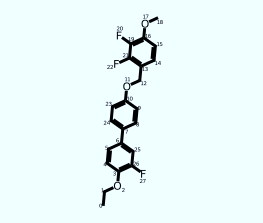 CCOc1ccc(-c2ccc(OCc3ccc(OC)c(F)c3F)cc2)cc1F